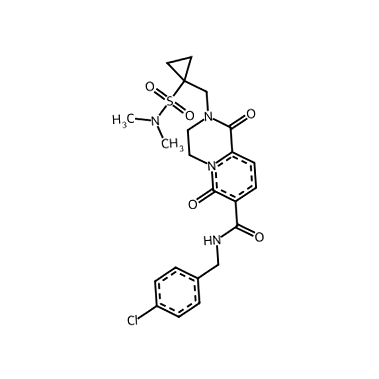 CN(C)S(=O)(=O)C1(CN2CCn3c(ccc(C(=O)NCc4ccc(Cl)cc4)c3=O)C2=O)CC1